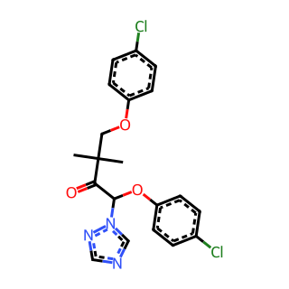 CC(C)(COc1ccc(Cl)cc1)C(=O)C(Oc1ccc(Cl)cc1)n1cncn1